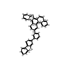 c1cc(-c2ccc3c(c2)oc2ccccc23)cc(-c2ccc3c(c2)c2c4ccccc4ccc2c2nc4ccccn4c32)c1